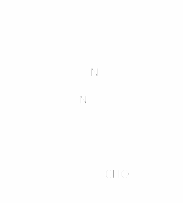 CN(CCC=O)N1CCCC1